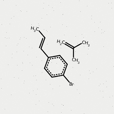 C=C(C)C.CC=Cc1ccc(Br)cc1